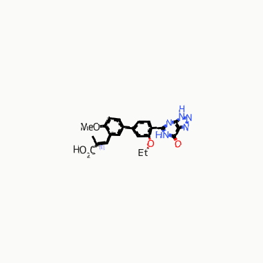 CCOc1cc(-c2ccc(OC)c(/C=C(\C)C(=O)O)c2)ccc1-c1nc2[nH]nnc2c(=O)[nH]1